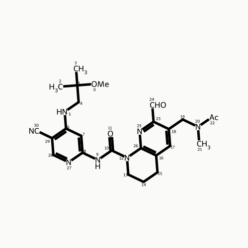 COC(C)(C)CNc1cc(NC(=O)N2CCCc3cc(CN(C)C(C)=O)c(C=O)nc32)ncc1C#N